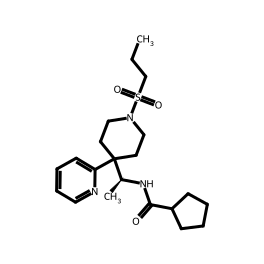 CCCS(=O)(=O)N1CCC(c2ccccn2)([C@H](C)NC(=O)C2CCCC2)CC1